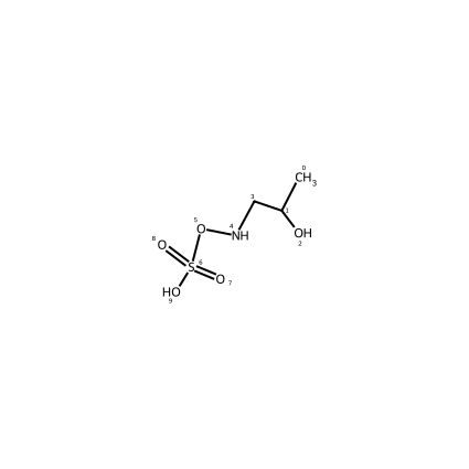 CC(O)CNOS(=O)(=O)O